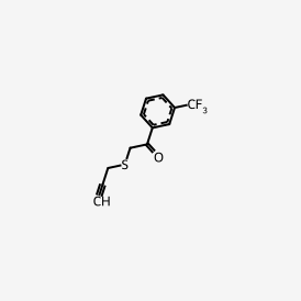 C#CCSCC(=O)c1cccc(C(F)(F)F)c1